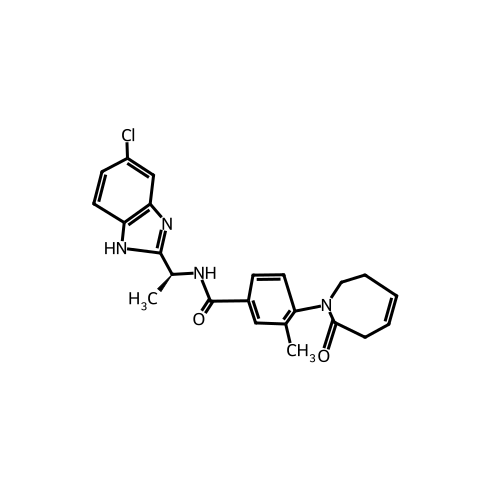 Cc1cc(C(=O)N[C@@H](C)c2nc3cc(Cl)ccc3[nH]2)ccc1N1CCC=CCC1=O